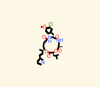 COc1ccc(C[C@H]2NC(=O)/C=C/C[C@@H](C(C)C=Cc3cccnc3)OC(=O)[C@H](CC(C)C)OC(=O)[C@H](C)CNC2=O)cc1Cl